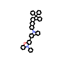 c1ccc(N2c3ccccc3Oc3cc(-c4ccc5c(c4)c4ccccc4n5-c4ccc5cc6ccc7c(c6cc5c4)-c4ccccc4C7(c4ccccc4)c4ccccc4)ccc32)cc1